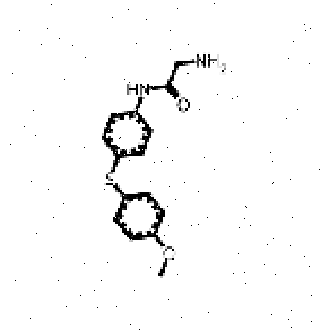 COc1ccc(Sc2ccc(NC(=O)CN)cc2)cc1